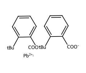 CC(C)(C)c1ccccc1C(=O)[O-].CC(C)(C)c1ccccc1C(=O)[O-].[Pb+2]